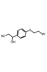 CC(C)CCSc1ccc(C(O)CC#N)cc1